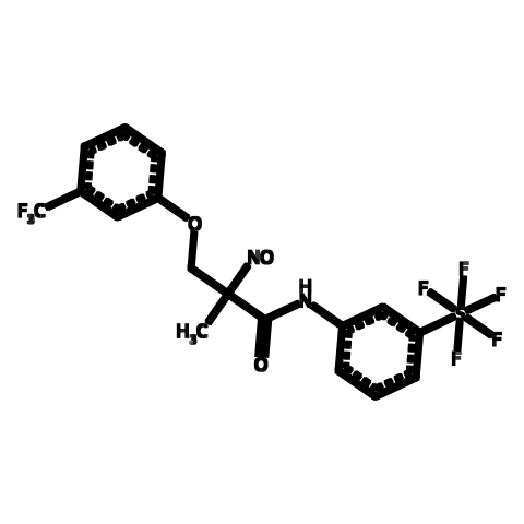 CC(COc1cccc(C(F)(F)F)c1)(N=O)C(=O)Nc1cccc(S(F)(F)(F)(F)F)c1